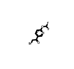 O=C(CBr)c1ccc(OC(F)F)nc1